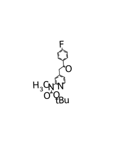 CN(C(=O)OC(C)(C)C)c1cc(CC(=O)c2ccc(F)cc2)ccn1